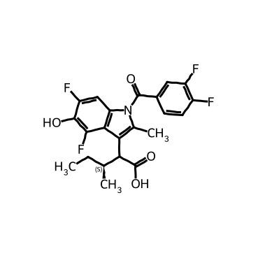 CC[C@H](C)C(C(=O)O)c1c(C)n(C(=O)c2ccc(F)c(F)c2)c2cc(F)c(O)c(F)c12